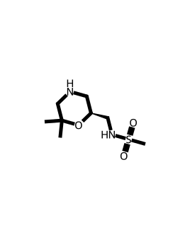 CC1(C)CNC[C@@H](CNS(C)(=O)=O)O1